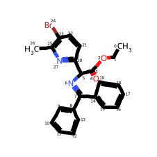 CCOC(=O)C(N=C(c1ccccc1)c1ccccc1)c1ccc(Br)c(C)n1